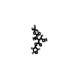 CC(O)C(NC(=O)OC(C)(C)C)C(=O)OC1CCOC1